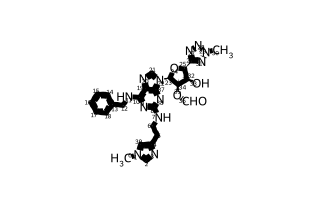 Cn1cnc(CCNc2nc(NCc3ccccc3)c3ncn([C@@H]4O[C@H](c5nnn(C)n5)[C@@H](O)[C@H]4OC=O)c3n2)c1